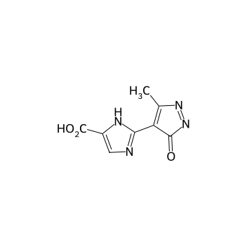 CC1=C(c2ncc(C(=O)O)[nH]2)C(=O)N=N1